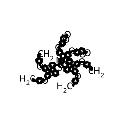 C=Cc1ccc(Oc2ccc(C3(c4ccc(Oc5ccc(C=C)cc5)cc4)c4ccccc4-c4c(-c5sc(-c6cccc7c6-c6ccccc6C7(c6ccc(Oc7ccc(C=C)cc7)cc6)c6ccc(Oc7ccc(C=C)cc7)cc6)c6nc7c8ccc(Oc9ccc%10oc(=O)ccc%10c9)cc8c8cc(Oc9ccc%10oc(=O)ccc%10c9)ccc8c7nc56)cccc43)cc2)cc1